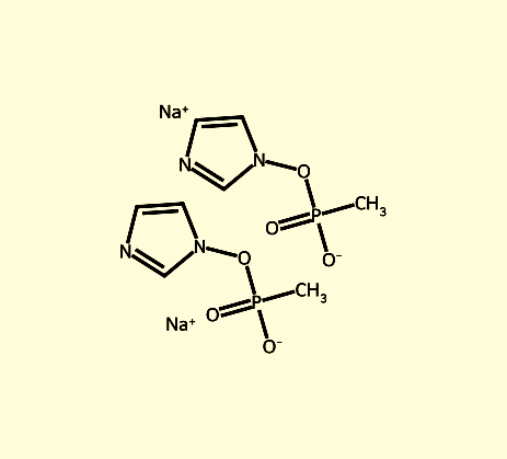 CP(=O)([O-])On1ccnc1.CP(=O)([O-])On1ccnc1.[Na+].[Na+]